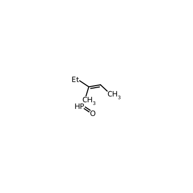 CC=C(C)CC.O=P